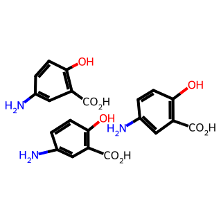 Nc1ccc(O)c(C(=O)O)c1.Nc1ccc(O)c(C(=O)O)c1.Nc1ccc(O)c(C(=O)O)c1